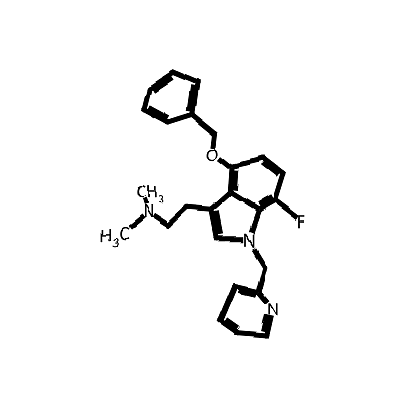 CN(C)CCc1cn(Cc2ccccn2)c2c(F)ccc(OCc3ccccc3)c12